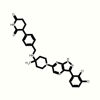 CC1(NCc2ccc(C3CCC(=O)NC3=O)cc2)CCN(c2cnc3c(-c4cccc(Cl)c4Cl)n[nH]c3n2)CC1